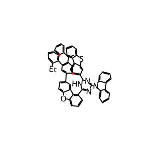 CCc1ccccc1-c1cc(-c2ccc3oc4cccc(C5=NC(n6c7ccccc7c7ccccc76)=NC(c6ccc7c(c6)sc6ccccc67)N5)c4c3c2)ccc1C(C)c1ccccc1